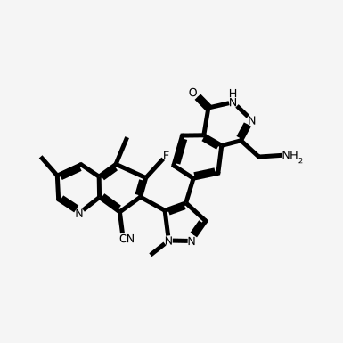 Cc1cnc2c(C#N)c(-c3c(-c4ccc5c(=O)[nH]nc(CN)c5c4)cnn3C)c(F)c(C)c2c1